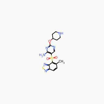 Cc1ccc2nsnc2c1S(=O)(=O)c1cnc(OC2CCNCC2)nc1N